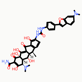 C[C@@H]1c2ccc(NC(=O)Nc3ccc(-c4cc5ccc(N(C)C)cc5o4)cc3)c(O)c2C(=O)C2=C(O)[C@]3(O)C(=O)C(C(N)=O)=C(O)[C@@H](N(C)C)[C@@H]3[C@@H](O)[C@@H]21